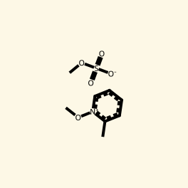 COS(=O)(=O)[O-].CO[n+]1ccccc1C